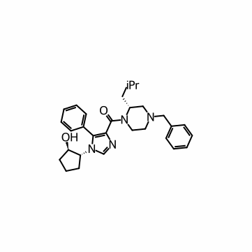 CC(C)C[C@@H]1CN(Cc2ccccc2)CCN1C(=O)c1ncn([C@@H]2CCC[C@H]2O)c1-c1ccccc1